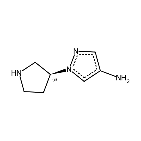 Nc1cnn([C@H]2CCNC2)c1